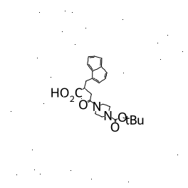 CC(C)(C)OC(=O)N1CCN(C(=O)CC(Cc2cccc3ccccc23)C(=O)O)CC1